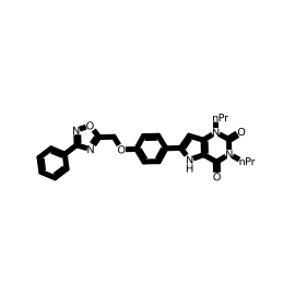 CCCn1c(=O)c2[nH]c(-c3ccc(OCc4nc(-c5ccccc5)no4)cc3)cc2n(CCC)c1=O